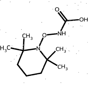 CC1(C)CCCC(C)(C)N1ONC(=O)O